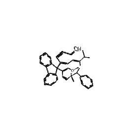 CO/C=C(\C=C/C(C)(C)C(C)c1ccccc1)C1(C(/C=C\CO)=C/C=C(\C)C(C)C)c2ccccc2-c2ccccc21